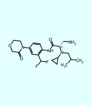 CC(C)CN(C1CC1)[C@@H](CN)C(=O)Nc1ccc(N2CCOCC2=O)cc1C(F)F